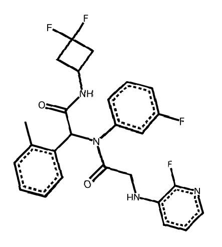 Cc1ccccc1C(C(=O)NC1CC(F)(F)C1)N(C(=O)CNc1cccnc1F)c1cccc(F)c1